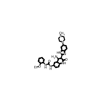 CCOc1ccccc1NC(=O)Nc1ccc2[nH]c(=O)c(-c3nc4ccc(N5CCN(C)CC5)cc4[nH]3)c(N)c2c1